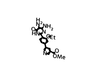 CCOc1cc(-c2cncc(C(=O)OC)c2)ccc1-c1nc(N)c(N)c(=O)[nH]1